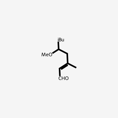 CCC(C)C(CC(C)=CC=O)OC